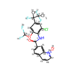 O=C(Nc1c(Cl)cc(C(F)(C(F)(F)F)C(F)(F)C(F)(F)F)cc1OC(F)F)c1ccc2ccc[n+]([O-])c2c1